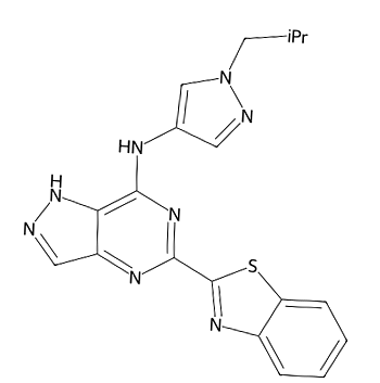 CC(C)Cn1cc(Nc2nc(-c3nc4ccccc4s3)nc3cn[nH]c23)cn1